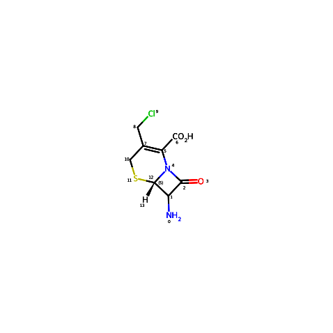 NC1C(=O)N2C(C(=O)O)=C(CCl)CS[C@@H]12